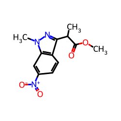 COC(=O)C(C)c1nn(C)c2cc([N+](=O)[O-])ccc12